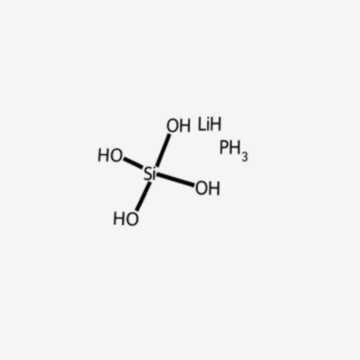 O[Si](O)(O)O.P.[LiH]